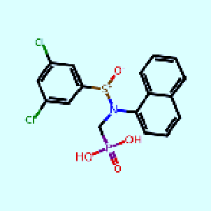 O=P(O)(O)CN(c1cccc2ccccc12)[S+]([O-])c1cc(Cl)cc(Cl)c1